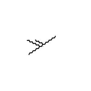 CCCCCCCCC([CH]C(CCCCCCC)CCCCCCCC)CCCCC